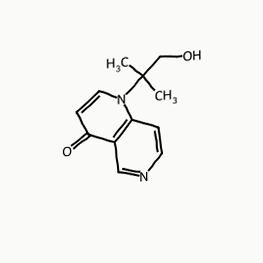 CC(C)(CO)n1ccc(=O)c2cnccc21